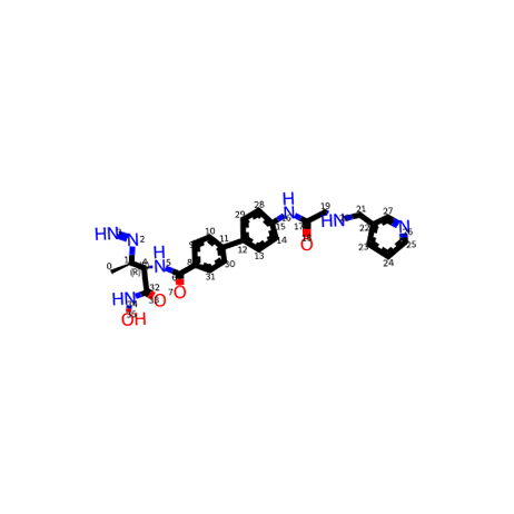 C[C@@H](N=N)[C@H](NC(=O)c1ccc(-c2ccc(NC(=O)CNCc3cccnc3)cc2)cc1)C(=O)NO